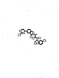 COc1cccc(C(CO)NC(=O)C(C)N2Cc3ccc(-c4ccnc(Cl)n4)cc3C2=O)c1